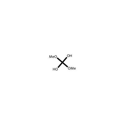 COC(O)(O)OC